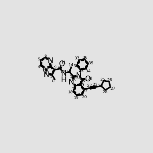 Cc1nn2cccnc2c1C(=O)NC(C)c1nc2cccc(C#CC3CCCC3)c2c(=O)n1-c1ccccc1